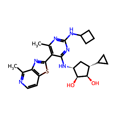 Cc1nc(NC2CCC2)nc(N[C@@H]2C[C@H](C3CC3)[C@@H](O)[C@H]2O)c1-c1nc2c(C)nccc2s1